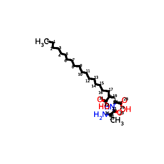 CCCCCCCCCCCCCCCCCCC(C[C@@H](NC(=O)[C@@H](C)N)C(=O)O)C(=O)O